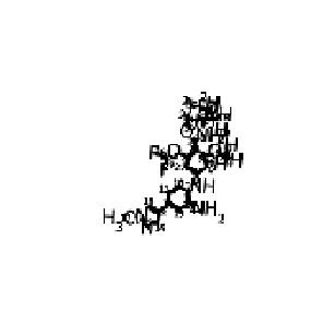 [2H]C([2H])([2H])Oc1cc(Nc2ccc(-c3cnn(C)c3)cc2N)cc(OC(F)F)c1C(=O)NC1([2H])C([2H])([2H])C1([2H])[2H]